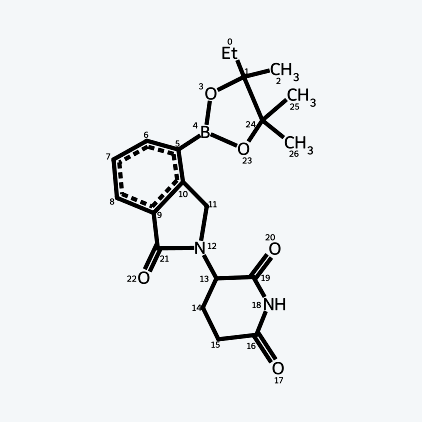 CCC1(C)OB(c2cccc3c2CN(C2CCC(=O)NC2=O)C3=O)OC1(C)C